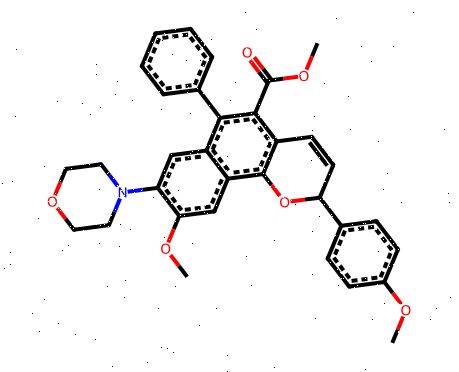 COC(=O)c1c2c(c3cc(OC)c(N4CCOCC4)cc3c1-c1ccccc1)OC(c1ccc(OC)cc1)C=C2